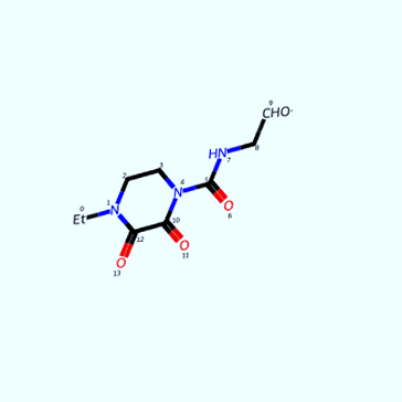 CCN1CCN(C(=O)NC[C]=O)C(=O)C1=O